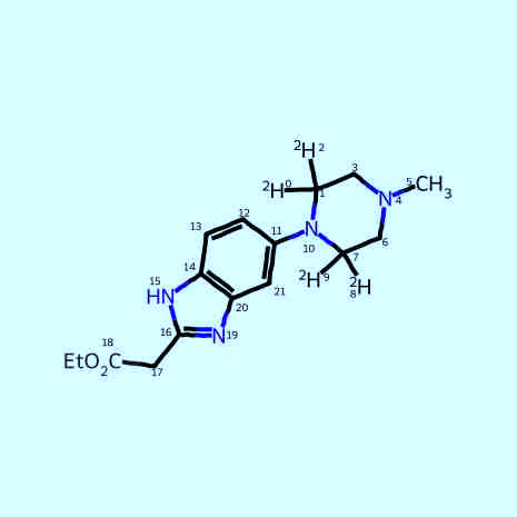 [2H]C1([2H])CN(C)CC([2H])([2H])N1c1ccc2[nH]c(CC(=O)OCC)nc2c1